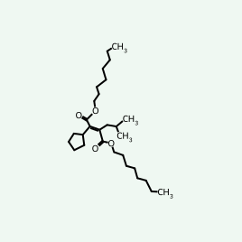 CCCCCCCCOC(=O)C(CC(C)C)=C(C(=O)OCCCCCCCC)C1CCCC1